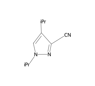 CC(C)c1cn(C(C)C)nc1C#N